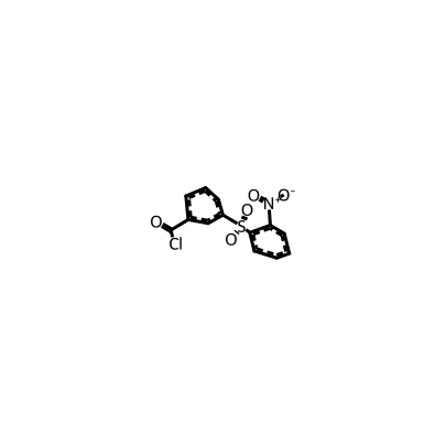 O=C(Cl)c1cccc(S(=O)(=O)c2ccccc2[N+](=O)[O-])c1